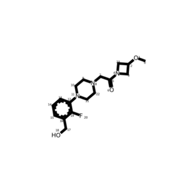 COC1CN(C(=O)CN2CCN(c3cccc(CO)c3F)CC2)C1